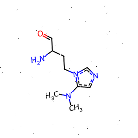 CN(C)c1cncn1CCC(N)C=O